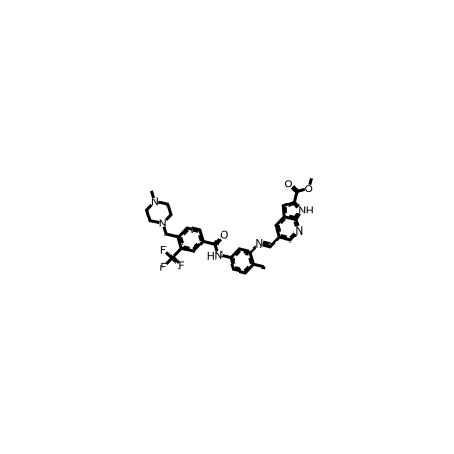 COC(=O)c1cc2cc(C=Nc3cc(NC(=O)c4ccc(CN5CCN(C)CC5)c(C(F)(F)F)c4)ccc3C)cnc2[nH]1